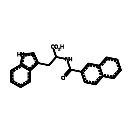 O=C(NC(Cc1c[nH]c2ccccc12)C(=O)O)c1ccc2ccccc2c1